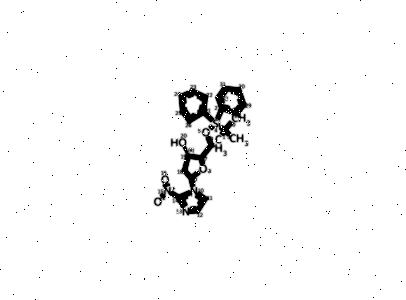 CC(C)(C)[Si](OCC1OC(n2ccnc2[N+](=O)[O-])C[C@H]1O)(c1ccccc1)c1ccccc1